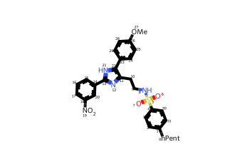 CCCCCc1ccc(S(=O)(=O)NCCc2nc(-c3cccc([N+](=O)[O-])c3)[nH]c2-c2ccc(OC)cc2)cc1